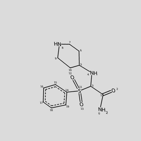 NC(=O)C(NC1CCNCC1)S(=O)(=O)c1ccccc1